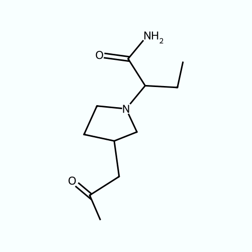 CCC(C(N)=O)N1CCC(CC(C)=O)C1